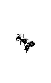 Cc1ccc(C2=C(COc3ccc(CCC(=O)O)c(F)c3F)CCOCC2)cc1F